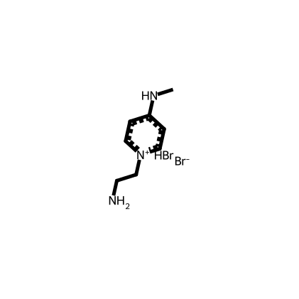 Br.CNc1cc[n+](CCN)cc1.[Br-]